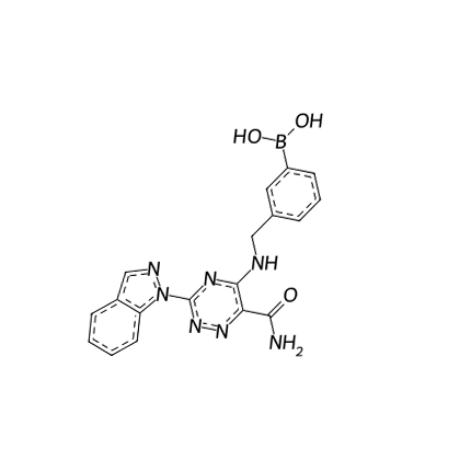 NC(=O)c1nnc(-n2ncc3ccccc32)nc1NCc1cccc(B(O)O)c1